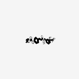 CC(C)(C)OC(=O)Oc1ccc(CCC(=O)NCc2cccc(C(F)(F)F)c2)cc1